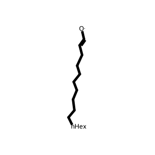 CCCCCCCCCCCCCC/C=C/[O]